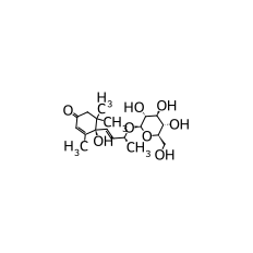 CC1=CC(=O)CC(C)(C)[C@]1(O)/C=C/[C@H](C)O[C@@H]1O[C@H](CO)[C@@H](O)[C@H](O)[C@H]1O